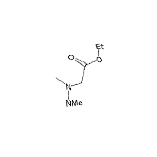 CCOC(=O)CN(C)NC